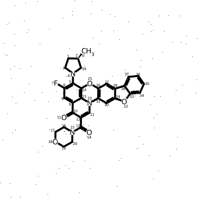 C[C@@H]1CCN(c2c(F)cc3c(=O)c(C(=O)N4CCOCC4)cn4c3c2Oc2cc3c(cc2-4)oc2ccccc23)C1